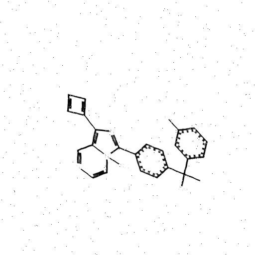 CC(O)(c1ccc(C2=NC(C3=CC=C3)=C3C=NC=C[N+]23N)cc1)c1cccc(F)c1